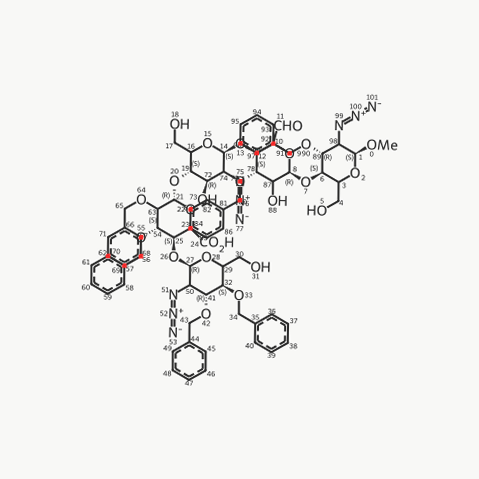 CO[C@H]1OC(CO)[C@@H](O[C@@H]2OC(C=O)[C@H](O[C@@H]3OC(CO)[C@@H](O[C@@H]4OC(C(=O)O)[C@@H](O[C@H]5OC(CO)[C@@H](OCc6ccccc6)[C@H](OCc6ccccc6)C5N=[N+]=[N-])[C@H](OCc5ccccc5)C4OCc4ccccc4)[C@H](O)C3N=[N+]=[N-])[C@@H](OCc3ccccc3)C2O)[C@H](OCc2ccccc2)C1N=[N+]=[N-]